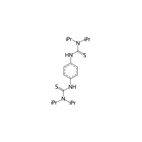 CC(C)N(C(=S)Nc1ccc(NC(=S)N(C(C)C)C(C)C)cc1)C(C)C